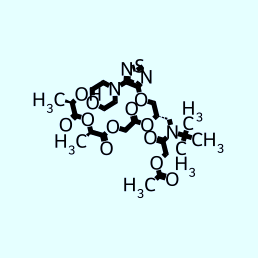 CC(=O)OCC(=O)N(C[C@@H](COc1nsnc1N1CCOCC1)OC(=O)COC(=O)[C@@H](C)OC(=O)[C@@H](C)O)C(C)(C)C